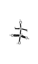 C[Si](C)(Cl)S(=O)(=O)Cl